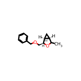 CC1O[C@@H](COCc2ccccc2)[C@H]2C[C@@H]12